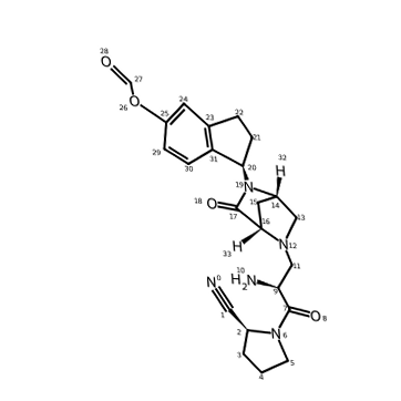 N#C[C@@H]1CCCN1C(=O)[C@@H](N)CN1C[C@@H]2C[C@H]1C(=O)N2[C@@H]1CCc2cc(OC=O)ccc21